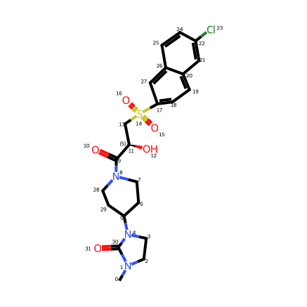 CN1CCN(C2CCN(C(=O)[C@H](O)CS(=O)(=O)c3ccc4cc(Cl)ccc4c3)CC2)C1=O